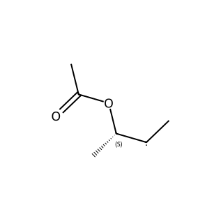 C[CH][C@H](C)OC(C)=O